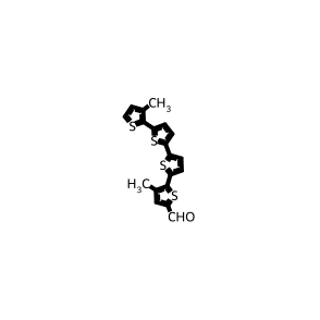 Cc1ccsc1-c1ccc(-c2ccc(-c3sc(C=O)cc3C)s2)s1